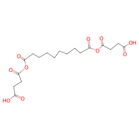 O=C(O)CCC(=O)OC(=O)CCCCCCCCC(=O)OC(=O)CCC(=O)O